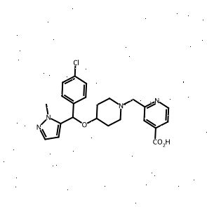 Cn1nccc1C(OC1CCN(Cc2cc(C(=O)O)ccn2)CC1)c1ccc(Cl)cc1